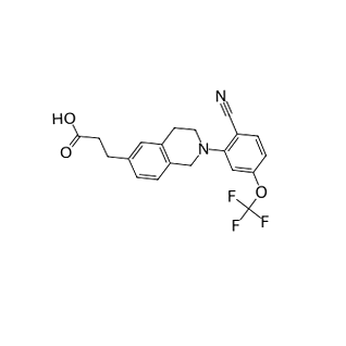 N#Cc1ccc(OC(F)(F)F)cc1N1CCc2cc(CCC(=O)O)ccc2C1